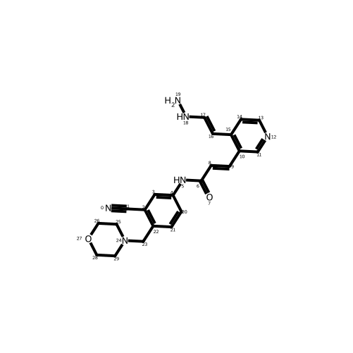 N#Cc1cc(NC(=O)/C=C/c2cnccc2/C=C/NN)ccc1CN1CCOCC1